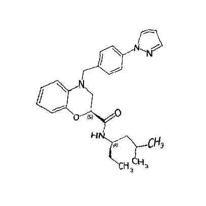 CC[C@H](CC(C)C)NC(=O)[C@@H]1CN(Cc2ccc(-n3cccn3)cc2)c2ccccc2O1